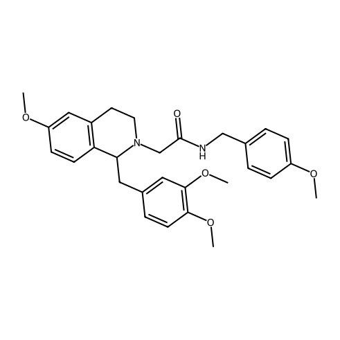 COc1ccc(CNC(=O)CN2CCc3cc(OC)ccc3C2Cc2ccc(OC)c(OC)c2)cc1